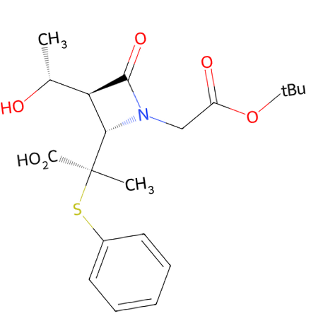 C[C@@H](O)[C@H]1C(=O)N(CC(=O)OC(C)(C)C)[C@@H]1[C@@](C)(Sc1ccccc1)C(=O)O